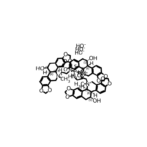 C[N+]1(CCNP(=S)(NCC[N+]2(C)Cc3c(ccc4c3OCO4)[C@@H]3[C@H]2c2cc4c(cc2C[C@@H]3O)OCO4)NCC[N+]2(C)Cc3c(ccc4c3OCO4)[C@@H]3[C@H]2c2cc4c(cc2C[C@@H]3O)OCO4)Cc2c(ccc3c2OCO3)[C@@H]2[C@H]1c1cc3c(cc1C[C@@H]2O)OCO3.[OH-].[OH-].[OH-]